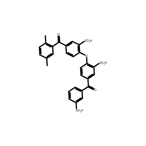 Cc1ccc(C)c(C(=O)c2ccc(Oc3ccc(C(=O)c4cccc(S(=O)(=O)O)c4)cc3S(=O)(=O)O)c(S(=O)(=O)O)c2)c1